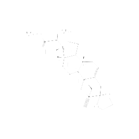 C#CC[C@]12CCC3(CC1=CC[C@@H]1[C@@H]2CC[C@@]2(C)[C@H]1CC[C@@]2(O)C(OC)C(=O)OC)OCCO3